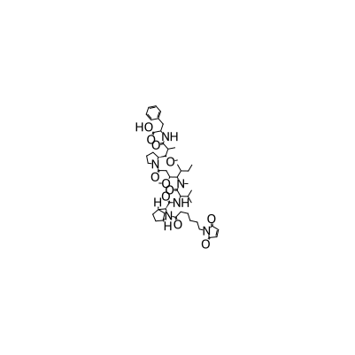 CCC(C)C(C(CC(=O)N1CCC[C@H]1C(OC)C(C)C(=O)NC(Cc1ccccc1)C(=O)O)OC)N(C)C(=O)C(NC(=O)[C@@H]1[C@H]2CC[C@H](C2)N1C(=O)CCCCCN1C(=O)C=CC1=O)C(C)C